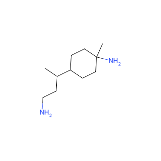 CC(CCN)C1CCC(C)(N)CC1